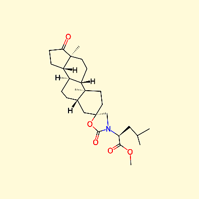 COC(=O)[C@H](CC(C)C)N1C[C@]2(CC[C@@]3(C)[C@@H](CC[C@@H]4[C@@H]3CC[C@]3(C)C(=O)CC[C@@H]43)C2)OC1=O